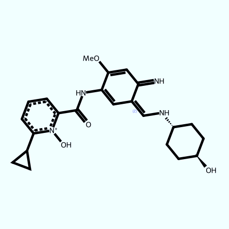 COC1=CC(=N)/C(=C\N[C@H]2CC[C@H](O)CC2)C=C1NC(=O)c1cccc(C2CC2)[n+]1O